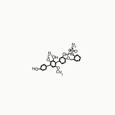 COc1cc(-c2ccc(O)cc2)c(OC)c(O)c1-c1ccc(OCc2ccccc2NS(C)(=O)=O)c(O)c1